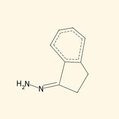 N/N=C1/CCc2ccccc21